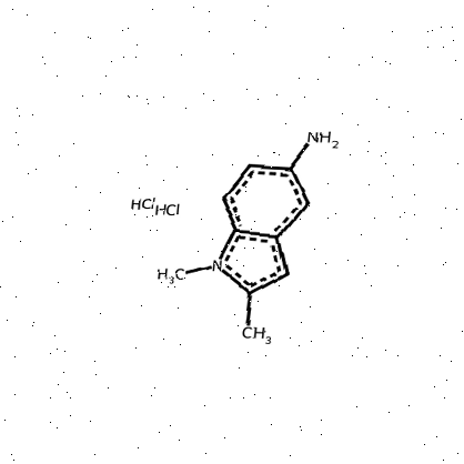 Cc1cc2cc(N)ccc2n1C.Cl.Cl